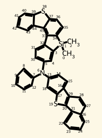 C[Si]1(C)c2cc(N(c3ccccc3)c3ccc4c(c3)sc3c5ccccc5ccc43)ccc2-c2c1ccc1sc3ccccc3c21